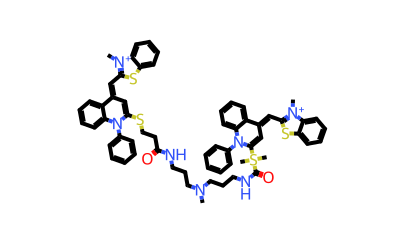 CN(CCCNC(=O)CCSC1=C/C(=C\c2sc3ccccc3[n+]2C)c2ccccc2N1c1ccccc1)CCCNC(=O)S(C)(C)C1=C/C(=C\c2sc3ccccc3[n+]2C)c2ccccc2N1c1ccccc1